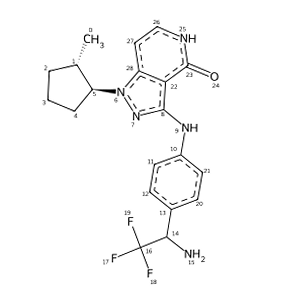 C[C@H]1CCC[C@@H]1n1nc(Nc2ccc(C(N)C(F)(F)F)cc2)c2c(=O)[nH]ccc21